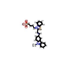 CCn1c2ccccc2c2cc(/C=C/c3sc4ccccc4[n+]3CCCCS(=O)(=O)[O-])ccc21